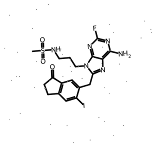 CS(=O)(=O)NCCCn1c(Cc2cc3c(cc2I)CCC3=O)nc2c(N)nc(F)nc21